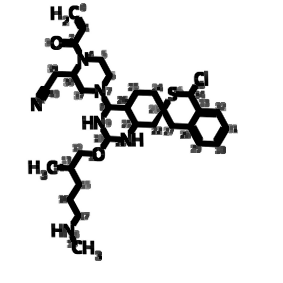 C=CC(=O)N1CCN(C2NC(OCC(C)CCCNC)NC3C[C@]4(CCC32)Cc2ccccc2C(Cl)S4)CC1CC#N